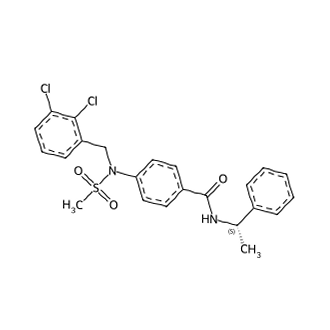 C[C@H](NC(=O)c1ccc(N(Cc2cccc(Cl)c2Cl)S(C)(=O)=O)cc1)c1ccccc1